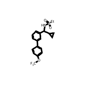 CCS(=O)(=O)NC(c1cccc(-c2ccc(OC(F)(F)F)cc2)c1)C1CC1